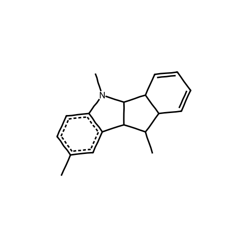 Cc1ccc2c(c1)C1C(C)C3C=CC=CC3C1N2C